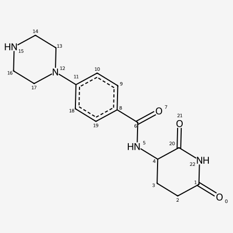 O=C1CCC(NC(=O)c2ccc(N3CCNCC3)cc2)C(=O)N1